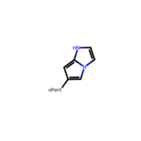 CCCCCc1cc2[nH]ccn2c1